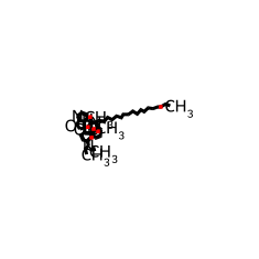 CCCCCCCCCCCCCCCCCCn1c(C)c(C2(c3ccc(N(CC)CC)cc3OCC)OC(=O)c3nccnc32)c2ccccc21